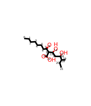 CCCCCCCC(=O)C(C(=O)O)C(O)CC(O)C(C)CC